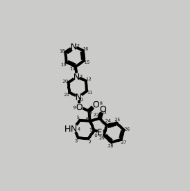 CCC1CCNCC1(C(=O)ON1CCN(c2ccncc2)CC1)C(=O)c1ccccc1